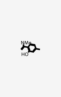 C=C(NC)c1ccc(C)cc1O